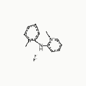 C[n+]1ccccc1Nc1cccc[n+]1C.[F-].[F-]